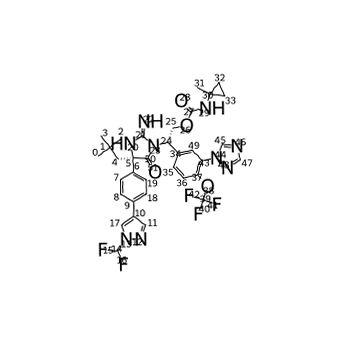 CC(C)(C)C[C@]1(c2ccc(-c3cnn(C(F)F)c3)cc2)NC(=N)N([C@H](COC(=O)NC2(C)CC2)c2ccc(OC(F)(F)F)c(-n3cncn3)c2)C1=O